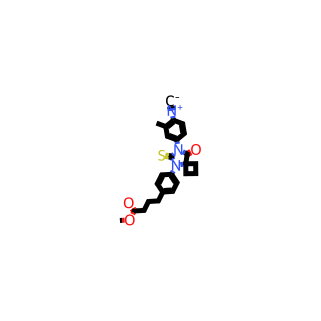 [C-]#[N+]c1ccc(N2C(=O)C3(CCC3)N(c3ccc(CCCC(=O)OC)cc3)C2=S)cc1C